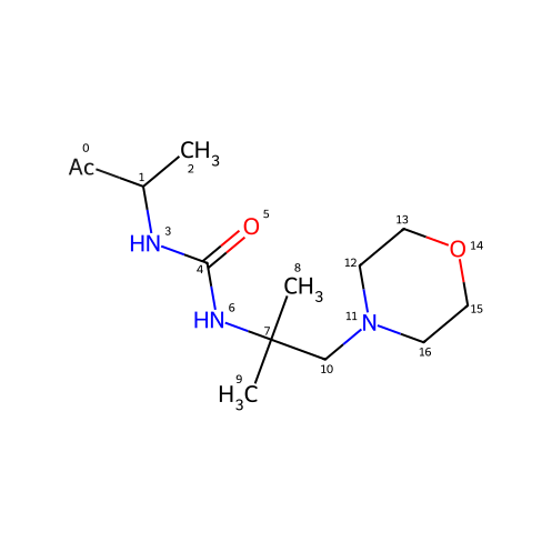 CC(=O)C(C)NC(=O)NC(C)(C)CN1CCOCC1